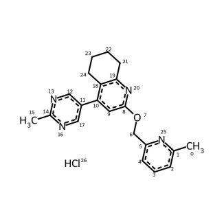 Cc1cccc(COc2cc(-c3cnc(C)nc3)c3c(n2)CCCC3)n1.Cl